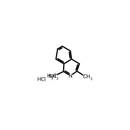 Cc1cc2ccccc2c(C)n1.Cl.N